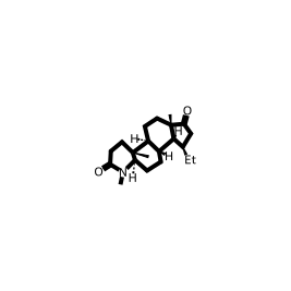 CC[C@@H]1CC(=O)[C@@]2(C)CC[C@H]3[C@@H](CC[C@H]4N(C)C(=O)CC[C@]34C)[C@H]12